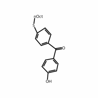 CCCCCCCCSc1ccc(C(=O)c2ccc(O)cc2)cc1